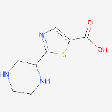 O=C(O)c1cnc(C2CNCCN2)s1